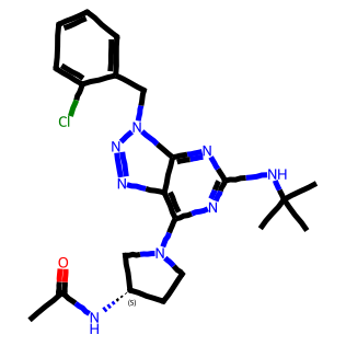 CC(=O)N[C@H]1CCN(c2nc(NC(C)(C)C)nc3c2nnn3Cc2ccccc2Cl)C1